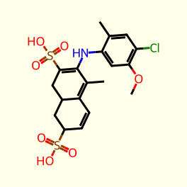 COc1cc(NC2=C(S(=O)(=O)O)CC3CC(S(=O)(=O)O)C=CC3=C2C)c(C)cc1Cl